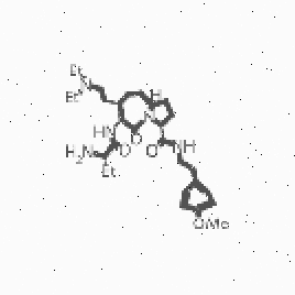 CC[C@H](N)C(=O)N[C@@H]1C(=O)N2[C@@H](CC[C@@H]1CCN(CC)CC)CC[C@H]2C(=O)NCCc1ccc(OC)cc1